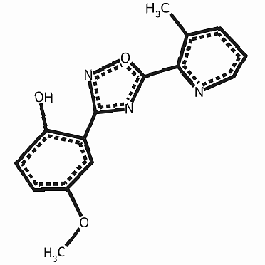 COc1ccc(O)c(-c2noc(-c3ncccc3C)n2)c1